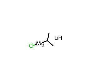 C[CH](C)[Mg][Cl].[LiH]